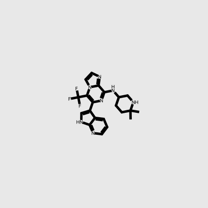 CC1(C)CCC(Nc2nc(-c3c[nH]c4ncccc34)c(C(F)(F)F)n3ccnc23)CN1